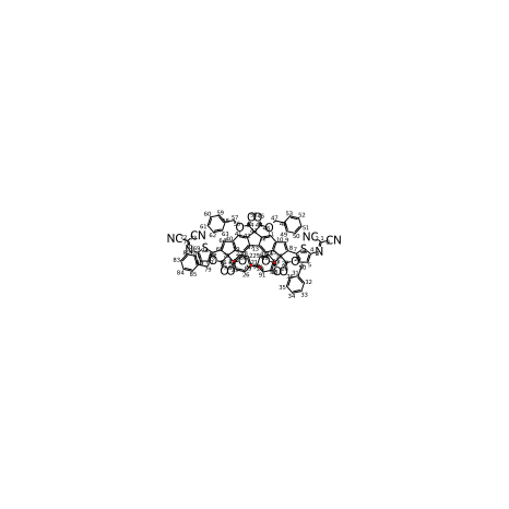 N#CC(C#N)=Nc1ccc(C2=Cc3cc4c(cc3C2(C(=O)OCc2ccccc2)C(=O)OCc2ccccc2)-c2cc3c(cc2C4(C(=O)OCc2ccccc2)C(=O)OCc2ccccc2)C=C(c2ccc(N=C(C#N)C#N)s2)C3(C(=O)OCc2ccccc2)C(=O)OCc2ccccc2)s1